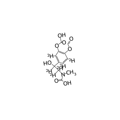 [2H]c1c([2H])c(C([2H])(O)C([2H])([2H])N(C)C(=O)O)c([2H])c(OC(=O)O)c1OC=O